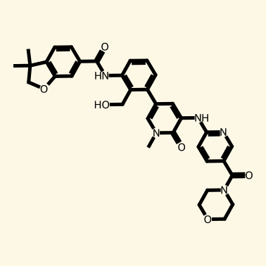 Cn1cc(-c2cccc(NC(=O)c3ccc4c(c3)OCC4(C)C)c2CO)cc(Nc2ccc(C(=O)N3CCOCC3)cn2)c1=O